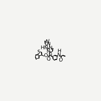 C=CC(=O)Nc1cccc(N(C(=O)OCc2csc3ccccc23)c2ccnc(Nc3ccn(C)n3)n2)c1